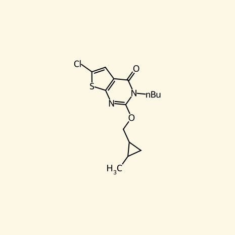 CCCCn1c(OCC2CC2C)nc2sc(Cl)cc2c1=O